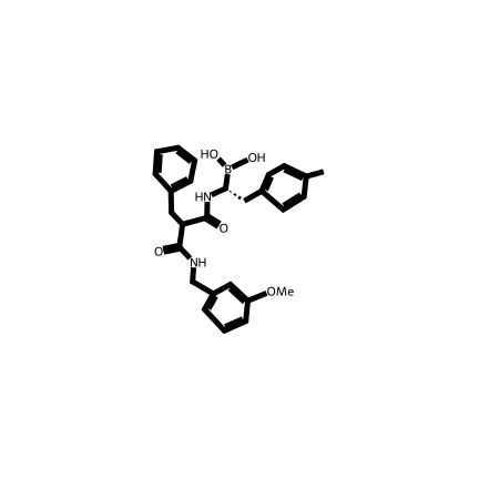 COc1cccc(CNC(=O)C(Cc2ccccc2)C(=O)N[C@@H](Cc2ccc(C)cc2)B(O)O)c1